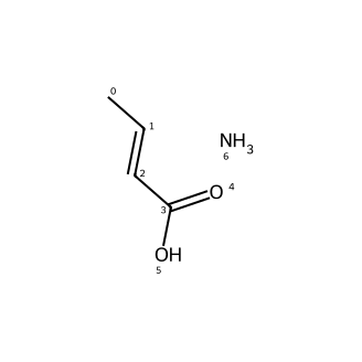 C/C=C/C(=O)O.N